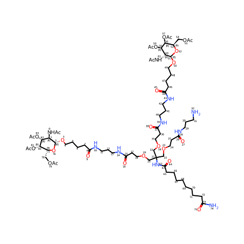 CC(=O)N[C@H]1[C@H](OCCCCC(=O)NCCCNC(=O)CCOCC(COCCC(=O)NCCCN)(COCCC(=O)NCCCNC(=O)CCCCO[C@@H]2O[C@H](COC(C)=O)[C@H](OC(C)=O)[C@H](OC(C)=O)[C@H]2NC(C)=O)NC(=O)CCCCCCCCC(N)=O)O[C@H](COC(C)=O)[C@H](OC(C)=O)[C@@H]1OC(C)=O